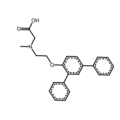 CN(CCOc1ccc(-c2ccccc2)cc1-c1ccccc1)CC(=O)O